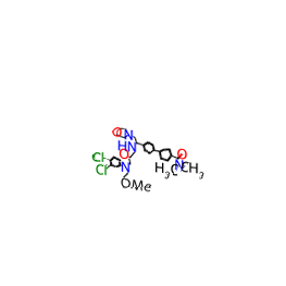 COCCN(CC(=O)CNC(CN1CCOCC1)c1ccc(-c2ccc(C(=O)N(C)C)cc2)cc1)c1ccc(Cl)c(Cl)c1